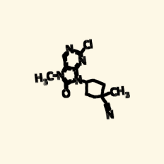 Cn1c(=O)n(C2CCC(C)(C#N)CC2)c2nc(Cl)ncc21